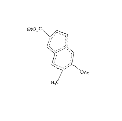 CCOC(=O)c1ccc2cc(OC(C)=O)c(C)cc2c1